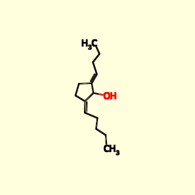 CCC/C=C1\CC/C(=C/CCCC)C1O